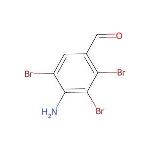 Nc1c(Br)cc(C=O)c(Br)c1Br